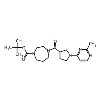 Cc1nccc(N2CCC(C(=O)N3CCCN(C(=O)OC(C)(C)C)CC3)C2)n1